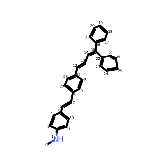 CNc1ccc(C=Cc2ccc(C=CC=C(c3ccccc3)c3ccccc3)cc2)cc1